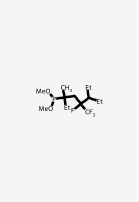 CCC(CC)C(F)(CC(C)(CC)P(OC)OC)C(F)(F)F